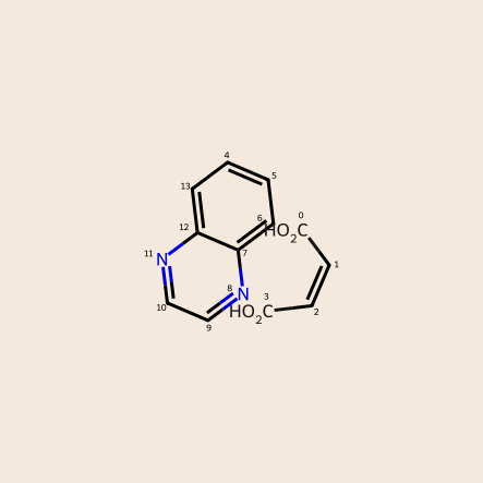 O=C(O)/C=C\C(=O)O.c1ccc2nccnc2c1